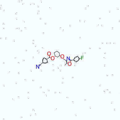 Cc1oc(-c2ccc(F)cc2)nc1CO[C@@H]1CCC[C@H](OC(=O)c2ccc(C#N)cc2)C1